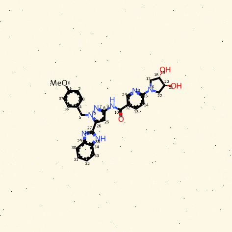 COc1ccc(Cn2nc(NC(=O)c3ccc(N4C[C@H](O)[C@@H](O)C4)nc3)cc2-c2nc3ccccc3[nH]2)cc1